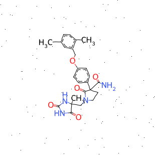 Cc1ccc(C)c(COc2ccc(C3(C(N)=O)CCN(CC4(C)NC(=O)NC4=O)C3=O)cc2)c1